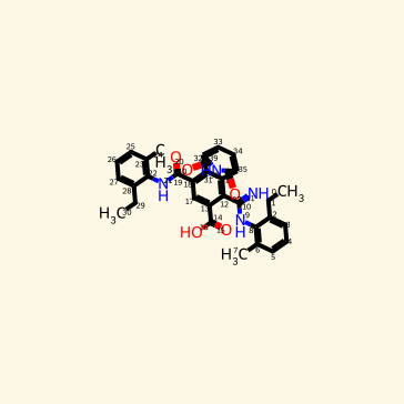 CCc1cccc(C)c1NC(=N)c1c(C(=O)O)cc(C(=O)Nc2c(C)cccc2CC)c2c3ccc(c(=O)[nH]c3=O)c12